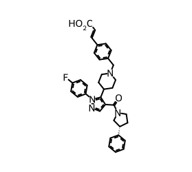 O=C(O)C=Cc1ccc(CN2CCC(c3c(C(=O)N4CC[C@H](c5ccccc5)C4)cnn3-c3ccc(F)cc3)CC2)cc1